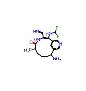 CC1CCCC(N)c2cncc(c2)/C(NC(F)F)=C(/C=N)NC1=O